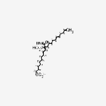 C=CCCCCCCCCCC(CCCCCCCCCCC(=O)O)(C(=O)O)C(=O)C(C)(C)C